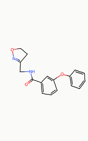 O=C(NCC1=NOCC1)c1cccc(Oc2ccccc2)c1